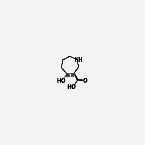 O=C(O)[C@@H]1CNCCC[C@H]1O